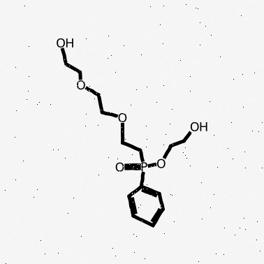 O=P(CCOCCOCCO)(OCCO)c1ccccc1